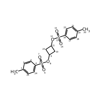 Cc1ccc(S(=O)(=O)OC2CC(OS(=O)(=O)c3ccc(C)cc3)C2)cc1